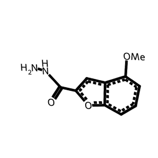 COc1cccc2oc(C(=O)NN)cc12